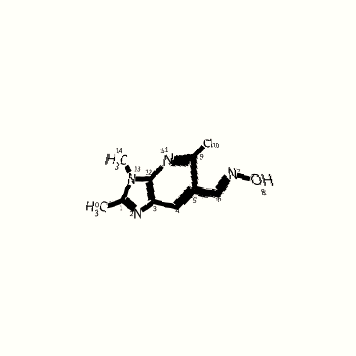 Cc1nc2cc(/C=N/O)c(Cl)nc2n1C